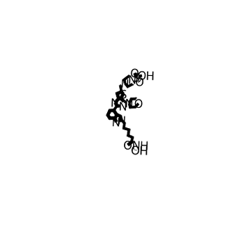 O=C(CCCCCn1cc2c(-c3nc(N4CCOCC4)c4sc(CN5CCN(S(=O)(=O)O)CC5)cc4n3)cccc2n1)NO